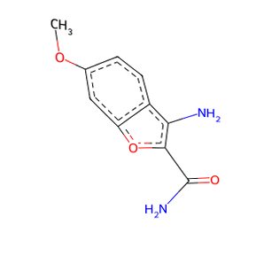 COc1ccc2c(N)c(C(N)=O)oc2c1